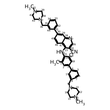 Cc1cc(-c2cccc(CN3CCN(C)CC3)c2)cc(Cl)c1Nc1c(C#N)cnc2cc(-c3cccc(CN4CCN(C)CC4)c3)ccc12